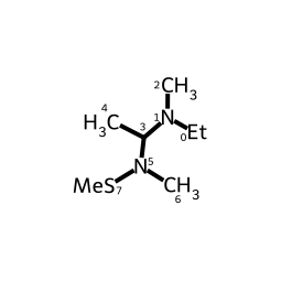 CCN(C)C(C)N(C)SC